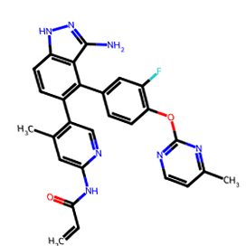 C=CC(=O)Nc1cc(C)c(-c2ccc3[nH]nc(N)c3c2-c2ccc(Oc3nccc(C)n3)c(F)c2)cn1